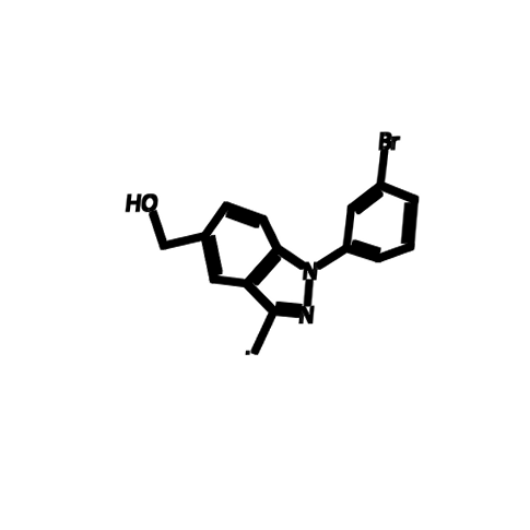 [CH2]c1nn(-c2cccc(Br)c2)c2ccc(CO)cc12